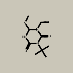 CCN1C(=O)N(C(C)(C)C)C(=O)NC1SC